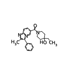 CCC1(O)CCN(C(=O)c2ccc3nc(C)c(-c4ccccc4)n3c2)CC1